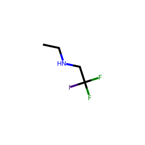 CCNCC(F)(F)I